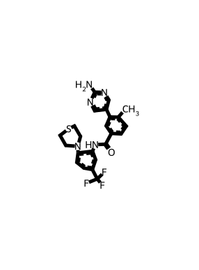 Cc1ccc(C(=O)Nc2cc(C(F)(F)F)ccc2N2CCSCC2)cc1-c1cnc(N)nc1